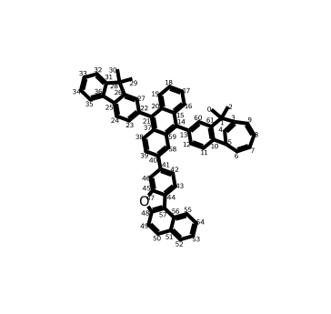 CC1(C)C2=CC(C=CC=C2)c2ccc(-c3c4ccccc4c(-c4ccc5c(c4)C(C)(C)c4ccccc4-5)c4ccc(-c5ccc6c(c5)oc5ccc7ccccc7c56)cc34)cc21